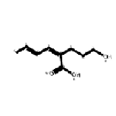 CC=CC=C(CCCO)C(=O)O